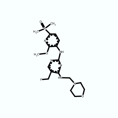 COc1nc(P(C)(C)=O)ccc1Nc1ncc(CF)c(NCN2CCOCC2)n1